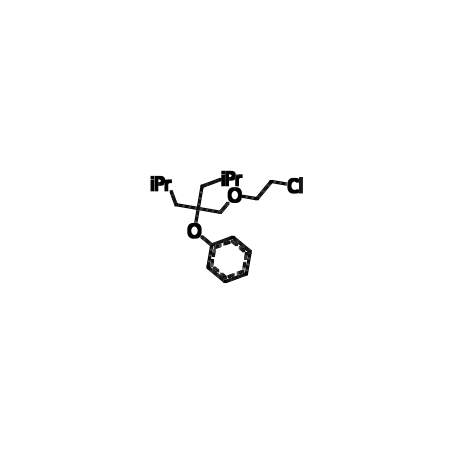 CC(C)CC(COCCCl)(CC(C)C)Oc1ccccc1